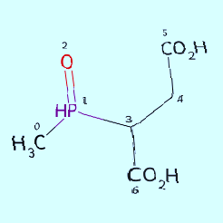 C[PH](=O)C(CC(=O)O)C(=O)O